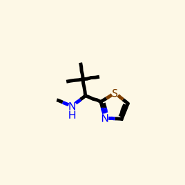 CNC(c1nccs1)C(C)(C)C